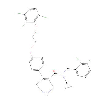 O=C(C1=C(c2ccc(OCCOc3c(F)ccc(Cl)c3F)cc2)CCNC1)N(Cc1cccc(Cl)c1Cl)C1CC1